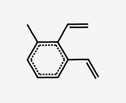 C=Cc1cccc(C)c1C=C